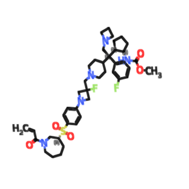 C=CC(=O)N1CCCC[C@@H](S(=O)(=O)c2ccc(N3CC(F)(CN4CCC([C@@](CN5CCC5)(c5cccc(F)c5)[C@H]5CCC[C@@H]5NC(=O)OC)CC4)C3)cc2)C1